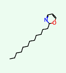 CCCCCCCCCCCCC1N=CC=CO1